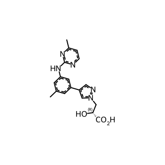 Cc1cc(Nc2nccc(C)n2)cc(-c2cnn(C[C@@H](O)C(=O)O)c2)c1